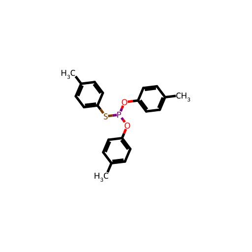 Cc1ccc(OP(Oc2ccc(C)cc2)Sc2ccc(C)cc2)cc1